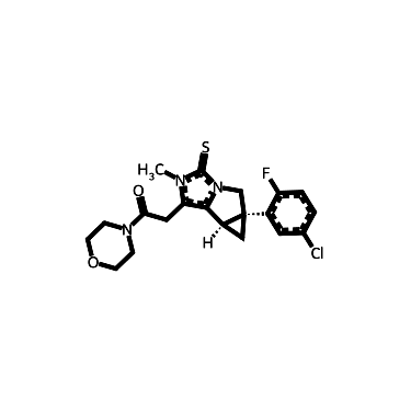 Cn1c(CC(=O)N2CCOCC2)c2n(c1=S)C[C@@]1(c3cc(Cl)ccc3F)C[C@@H]21